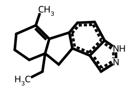 CCC12CCCC(C)=C1c1ccc3[nH]ncc3c1C2